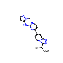 CO[C@H](c1nnc2cc(-c3ccnc(Nc4ccnn4C)n3)ccn12)C(C)C